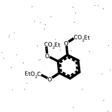 CCOC(=O)Oc1[c]ccc(OC(=O)OCC)c1OC(=O)OCC